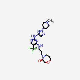 CN1CCC(n2ncc(Nc3ncc(C(F)(F)F)c(NCCCN4CCCOCC4=O)n3)n2)CC1